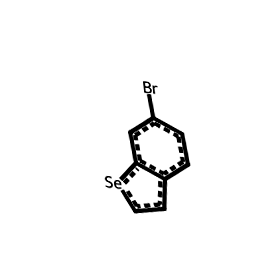 Brc1ccc2cc[se]c2c1